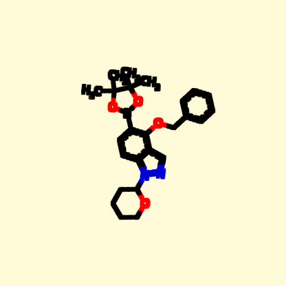 CC1(C)OB(c2ccc3c(cnn3C3CCCCO3)c2OCc2ccccc2)OC1(C)C